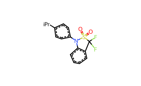 CC(C)c1ccc(N2c3ccccc3C(F)(F)S2(=O)=O)cc1